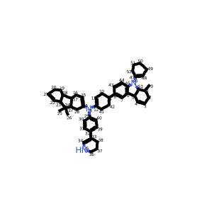 CC1CC=CC2c3cc(C4CC=C(N(C5=CCC6C7CCC=CC7C(C)(C)C6C5)c5ccc(C6=CNCCC6)cc5)CC4)ccc3N(C3=CCCCC3)C12